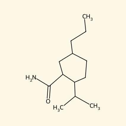 CCCC1CCC(C(C)C)C(C(N)=O)C1